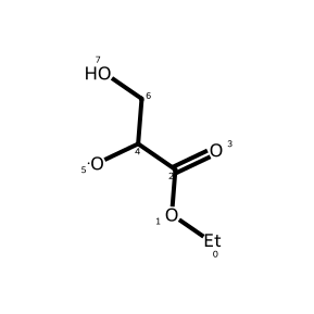 CCOC(=O)C([O])CO